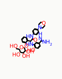 N=C(N)c1ccc(O)c(NC(C(=O)Nc2ccc(N3CCOCC3)cc2)c2ccccc2OC2OC(CO)C(O)C(O)C2O)c1